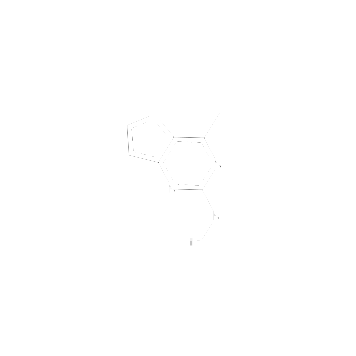 Cc1nc(NC(C)C)nc2ccoc12